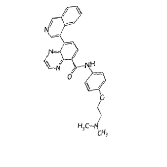 CN(C)CCOc1ccc(NC(=O)c2ccc(-c3cncc4ccccc34)c3nccnc23)cc1